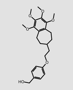 COc1c2c(c(OC)c(OC)c1OC)CCC(CCOc1ccc(CO)cc1)CC2